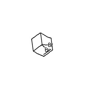 BrC1(Br)C2C=CCC1C2